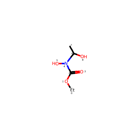 CCOC(=O)N(O)C(C)O